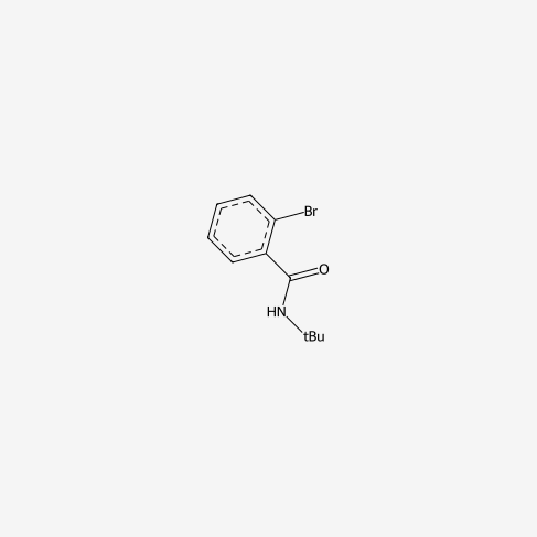 CC(C)(C)NC(=O)c1ccccc1Br